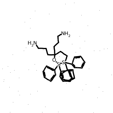 NCCCC1(CCCN)CC[Si](c2ccccc2)(c2ccccc2)[Si](c2ccccc2)(c2ccccc2)O1